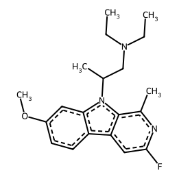 CCN(CC)CC(C)n1c2cc(OC)ccc2c2cc(F)nc(C)c21